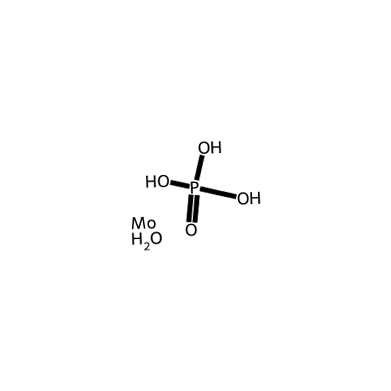 O.O=P(O)(O)O.[Mo]